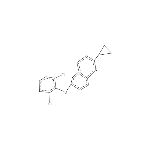 Clc1cccc(Cl)c1Oc1ccc2nc(C3CC3)ccc2c1